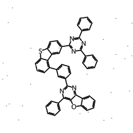 c1ccc(-c2nc(-c3ccccc3)nc(-c3ccc4sc5cccc(-c6cccc(-c7nc(-c8ccccc8)c8oc9ccccc9c8n7)c6)c5c4c3)n2)cc1